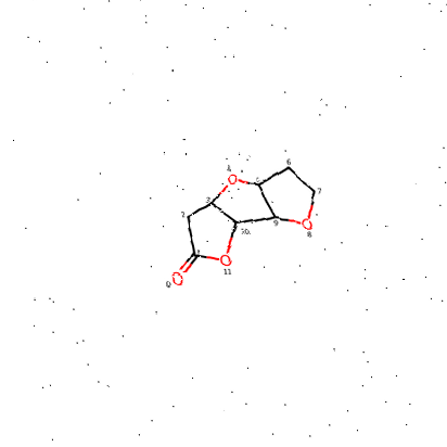 O=C1CC2OC3CCOC3C2O1